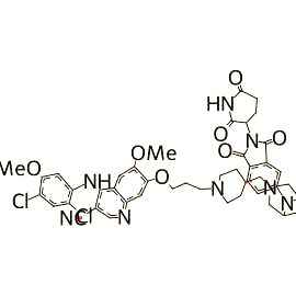 COc1cc(Nc2c(C#N)cnc3cc(OCCCN4CCC(CN5CC6CC(C5)N6c5ccc6c(c5)C(=O)N(C5CCC(=O)NC5=O)C6=O)CC4)c(OC)cc23)c(Cl)cc1Cl